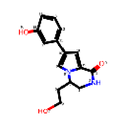 O=C1NCC(CCO)n2cc(-c3cccc(O)c3)cc21